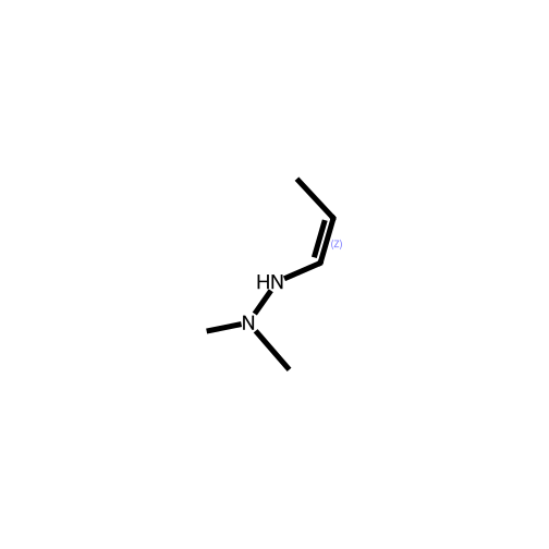 C/C=C\NN(C)C